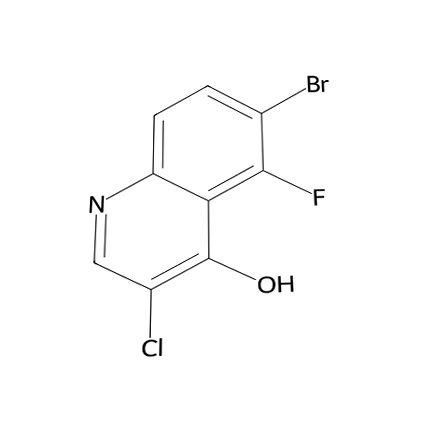 Oc1c(Cl)cnc2ccc(Br)c(F)c12